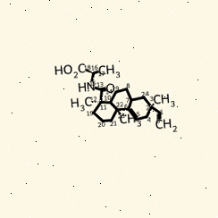 C=C[C@@]1(C)CC=C2C(CCC3[C@](C)(C(=O)N[C@H](C)C(=O)O)CCC[C@@]23C)C1